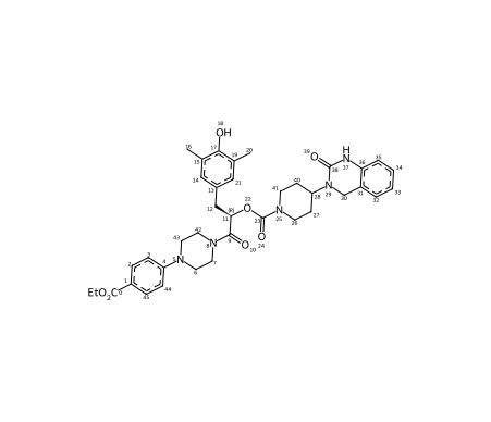 CCOC(=O)c1ccc(N2CCN(C(=O)[C@@H](Cc3cc(C)c(O)c(C)c3)OC(=O)N3CCC(N4Cc5ccccc5NC4=O)CC3)CC2)cc1